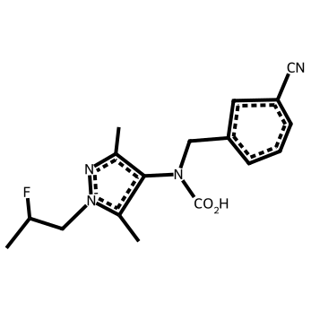 Cc1nn(CC(C)F)c(C)c1N(Cc1cccc(C#N)c1)C(=O)O